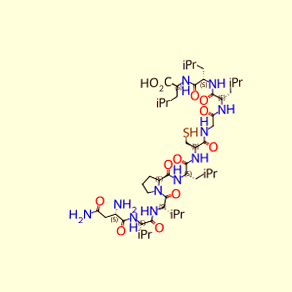 CC(C)C[C@H](NC(=O)[C@H](CC(C)C)NC(=O)[C@H](CC(C)C)NC(=O)CNC(=O)[C@H](CS)NC(=O)[C@H](CC(C)C)NC(=O)[C@@H]1CCCN1C(=O)[C@@H](NC(=O)[C@@H](NC(=O)[C@@H](N)CC(N)=O)C(C)C)C(C)C)C(=O)O